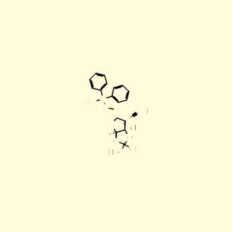 C#C[C@H]1[C@H]2OC(C)(C)O[C@H]2O[C@@H]1CO[Si](c1ccccc1)(c1ccccc1)C(C)(C)C